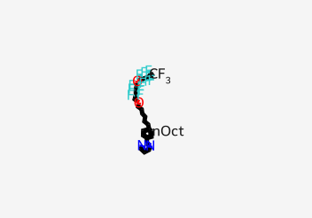 CCCCCCCCc1cc(-c2ncccn2)ccc1CCCCCCOCC(F)(F)C(F)(F)C(F)(F)OC(F)(F)C(F)(F)C(F)(F)C(F)(F)F